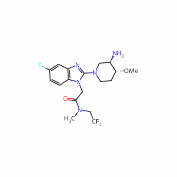 CO[C@@H]1CCN(c2nc3cc(F)ccc3n2CC(=O)N(C)CC(F)(F)F)C[C@H]1N